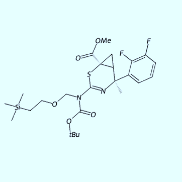 COC(=O)[C@]12CC1[C@@](C)(c1cccc(F)c1F)N=C(N(COCC[Si](C)(C)C)C(=O)OC(C)(C)C)S2